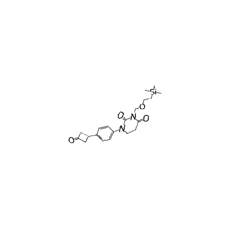 C[Si](C)(C)CCOCN1C(=O)CCN(c2ccc(C3CC(=O)C3)cc2)C1=O